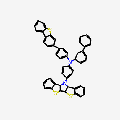 C1=CC(N(c2ccc(-c3ccc4c(c3)sc3ccccc34)cc2)c2ccc(N3C4c5ccccc5SC4C4Sc5ccccc5C43)cc2)CC(c2ccccc2)=C1